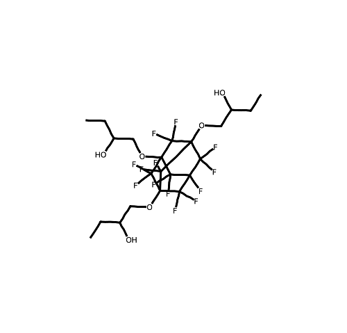 CCC(O)COC12C(F)(F)C3(F)C(F)(F)C(OCC(O)CC)(C1(F)F)C(F)(F)C(OCC(O)CC)(C3(F)F)C2(F)F